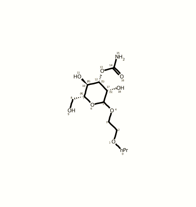 CCCOCCOC1O[C@H](CO)[C@@H](O)[C@H](OC(N)=O)[C@@H]1O